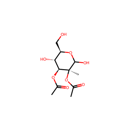 CC(=O)O[C@H]1[C@H](O)[C@@H](CO)OC(O)[C@@]1(C)OC(C)=O